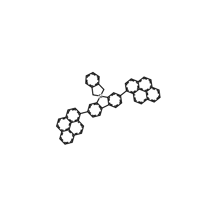 c1ccc2c(c1)C[Si]1(C2)c2cc(-c3ccc4ccc5cccc6ccc3c4c56)ccc2-c2ccc(-c3ccc4ccc5cccc6ccc3c4c56)cc21